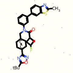 Cc1nc2ccc(-c3cccc(N(CC45CCC(c6noc(C(C)(C)C)n6)(CC4)CC5)C(=O)C45CC(F)(C4)C5)c3)cc2s1